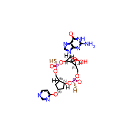 Nc1nc2c(ncn2[C@@H]2O[C@H]3COP(=O)(S)O[C@H]4C[C@H](Oc5ccncn5)C[C@@H]4COP(=O)(S)O[C@@H]2[C@@H]3CO)c(=O)[nH]1